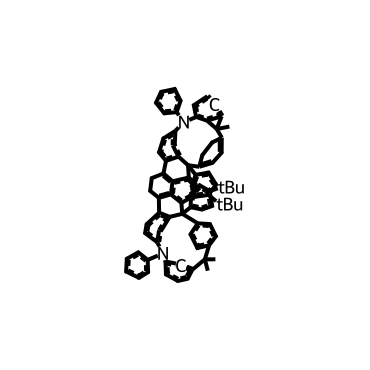 CC(C)(C)c1ccc(C23C4=CC=C(CC4)C4(C)c5cccc(c54)N(c4ccccc4)c4ccc(c2c4)C2=c4c3ccc3c4=C(CC2)c2ccc4cc2C3(c2ccc(C(C)(C)C)cc2)c2ccc(cc2)C(C)(C)c2cccc(c2)N4c2ccccc2)cc1